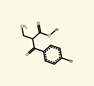 CCC(C(=O)OBr)C(=O)c1ccc(Br)cc1